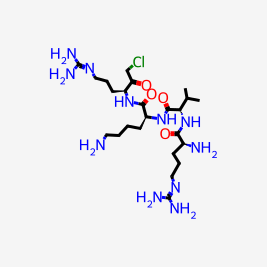 CC(C)[C@H](NC(=O)[C@@H](N)CCCN=C(N)N)C(=O)N[C@@H](CCCCN)C(=O)N[C@@H](CCCN=C(N)N)C(=O)CCl